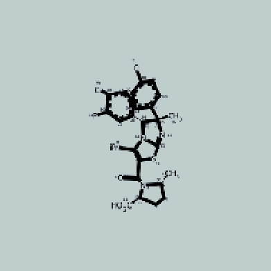 CC(C)C1=C(C(=O)N2[C@H](C)CC[C@H]2C(=O)O)SC2=N[C@@](C)(c3ccc(Cl)cc3)[C@@H](c3ccc(Cl)c(F)c3)N21